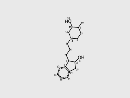 CC1CCN(CCCC2c3ccccc3CC2O)CC1O